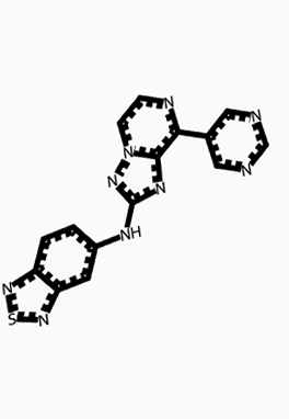 c1ncc(-c2nccn3nc(Nc4ccc5nsnc5c4)nc23)cn1